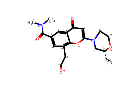 C[C@@H]1CN(c2cc(=O)c3cc(C(=O)N(C)C)cc(CCO)c3o2)CCO1